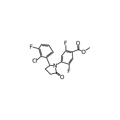 COC(=O)c1cc(F)c(N2C(=O)CCC2c2cccc(F)c2Cl)cc1F